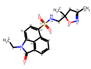 CCN1C(=O)c2cccc3c(S(=O)(=O)NCC4(C)CC(C)=NO4)ccc1c23